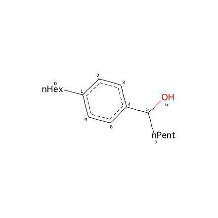 CCCCCCc1ccc(C(O)CCCCC)cc1